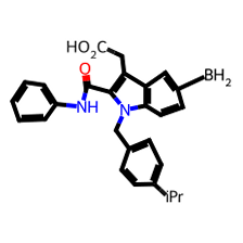 Bc1ccc2c(c1)c(CC(=O)O)c(C(=O)Nc1ccccc1)n2Cc1ccc(C(C)C)cc1